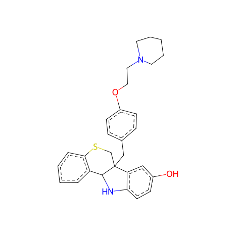 Oc1ccc2c(c1)C1(Cc3ccc(OCCN4CCCCC4)cc3)CSc3ccccc3C1N2